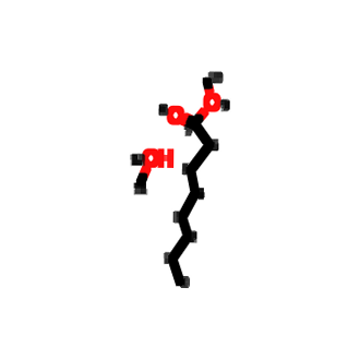 CCCCCCCC(=O)OC.CO